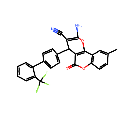 Cc1ccc2oc(=O)c3c(c2c1)OC(N)=C(C#N)C3c1ccc(-c2ccccc2C(F)(F)F)cc1